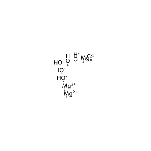 [Cl-].[Mg+2].[Mg+2].[Mg+2].[OH-].[OH-].[OH-].[OH-].[OH-]